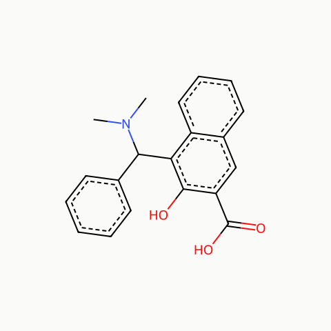 CN(C)C(c1ccccc1)c1c(O)c(C(=O)O)cc2ccccc12